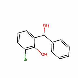 Oc1c(Br)cccc1C(O)c1ccccc1